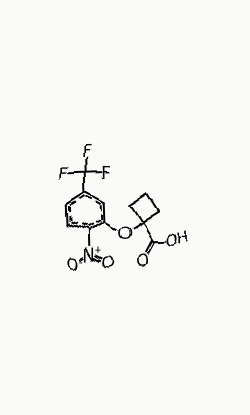 O=C(O)C1(Oc2cc(C(F)(F)F)ccc2[N+](=O)[O-])CCC1